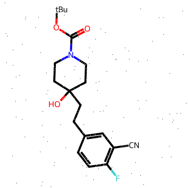 CC(C)(C)OC(=O)N1CCC(O)(CCc2ccc(F)c(C#N)c2)CC1